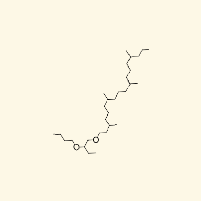 CCCCOC(CC)COCCC(C)CCCC(C)CCCC(C)CCCC(C)CCC